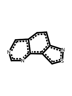 c1ncc2ccc3nscc3c2n1